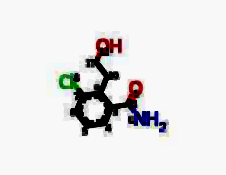 NC(=O)c1cccc(Cl)c1CCO